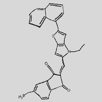 Bc1ccc2c(c1)C(=O)/C(=C\c1cc3oc(-c4cccc5ccccc45)cc3n1CC)C2=O